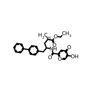 CCOC(=O)[C@H](C)CC(Cc1ccc(-c2ccccc2)cc1)NC(=O)c1cc(=O)c(O)co1